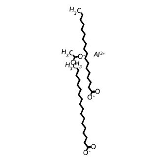 CC(C)[O-].CCCCCCCCCCCCCCCCCC(=O)[O-].CCCCCCCCCCCCCCCCCC(=O)[O-].[Al+3]